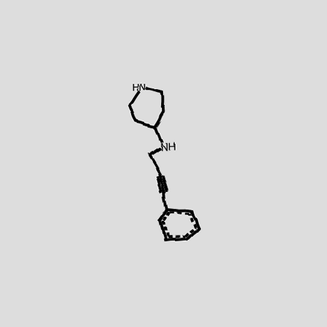 C(#Cc1ccccc1)CNC1CCNCC1